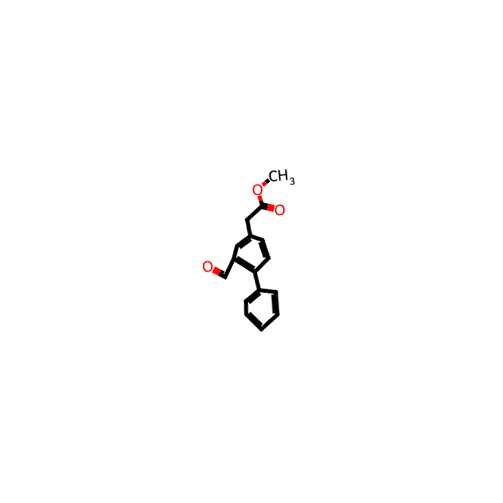 COC(=O)Cc1ccc(-c2ccccc2)c(C=O)c1